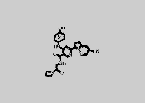 N#Cc1cnn2c(-c3cc(NC45CCC(O)(CC4)CC5)c(C(=O)NCC(=O)N4CCC4)cn3)ccc2c1